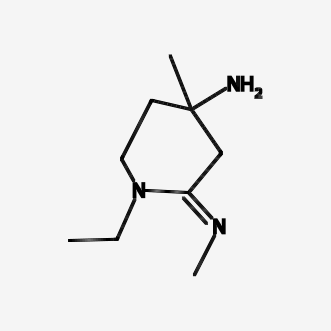 CCN1CCC(C)(N)C/C1=N/C